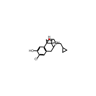 Oc1cc2c(cc1Cl)CC1N(CC3CC3)CCC23CCNCCC13O